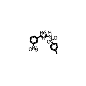 Cc1ccc(S(=O)(=O)Nc2nc(-c3cccc([N+](=O)[O-])c3)ns2)cc1